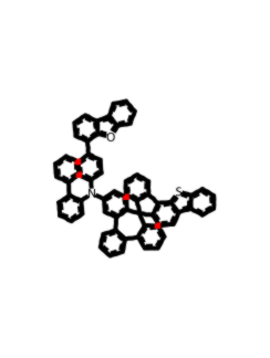 c1ccc(-c2ccccc2N(c2ccc(-c3cccc4c3oc3ccccc34)cc2)c2ccc3c(c2)-c2ccccc2-c2ccccc2C32c3ccccc3-c3c2ccc2c3sc3ccccc32)cc1